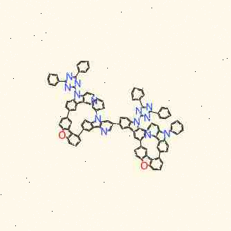 c1ccc(-c2nc(-c3ccccc3)nc(-n3c4ccncc4c4cc(-c5ccc6oc7cccc(-c8ccc9c(c8)c8ncc(-c%10ccc%11c(c%10)c%10cc(-c%12ccc%13oc%14cccc(-c%15ccc%16c(c%15)c%15ncccc%15n%16-c%15ccccc%15)c%14c%13c%12)ccc%10n%11-c%10nc(-c%11ccccc%11)nc(-c%11ccccc%11)n%10)cc8n9-c8ccccc8)c7c6c5)ccc43)n2)cc1